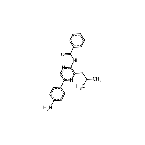 CC(C)Cc1nc(-c2ccc(N)cc2)cnc1NC(=O)c1ccccc1